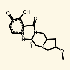 COC1CC2CN3C(=O)c4c(O)c(=O)ccn4N[C@@H]3CN2C1